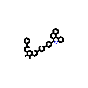 C=C(/C=C\C1=C(C)C(C)C(/C=C\C(=C)c2ccccc2)C=C1)C(/C=C\C(=C)c1ccc(C2=NC3=CC=CCC3C3c4ccccc4C=CC23)cc1)=C/C